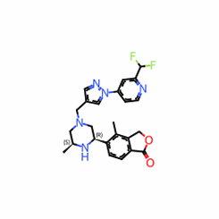 Cc1c([C@@H]2CN(Cc3cnn(-c4ccnc(C(F)F)c4)c3)C[C@H](C)N2)ccc2c1COC2=O